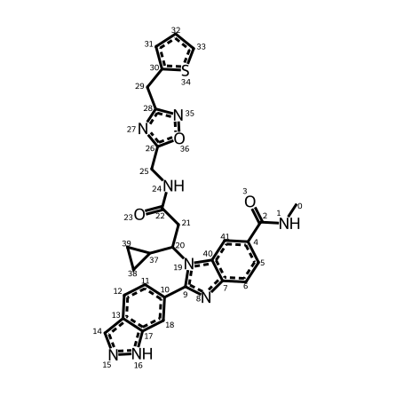 CNC(=O)c1ccc2nc(-c3ccc4cn[nH]c4c3)n(C(CC(=O)NCc3nc(Cc4cccs4)no3)C3CC3)c2c1